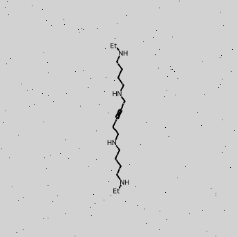 CCNCCCCNCC#CCCNCCCCNCC